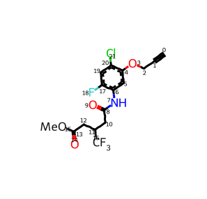 C#CCOc1cc(NC(=O)CC(CC(=O)OC)C(F)(F)F)c(F)cc1Cl